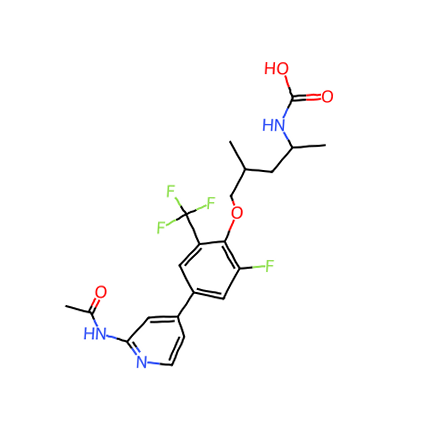 CC(=O)Nc1cc(-c2cc(F)c(OCC(C)CC(C)NC(=O)O)c(C(F)(F)F)c2)ccn1